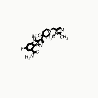 Cc1ncc(CN2CCC(C)(c3cnn4c3[nH]c3cc(F)cc(C(N)=O)c34)CC2)n1C